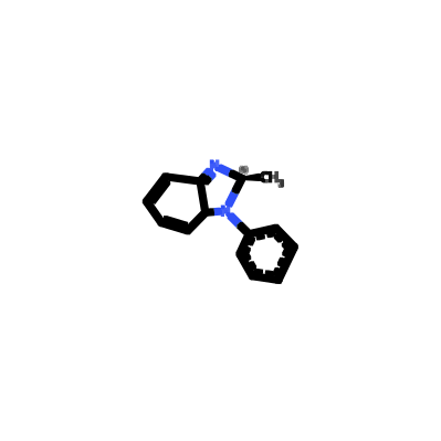 C[C@@H]1N=C2C=CC=CC2N1c1ccccc1